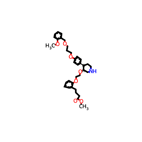 COC(=O)CCCc1ccccc1OCCO[C@H]1CNCC[C@@H]1c1ccc(OCCCOCc2ccccc2OC)cc1